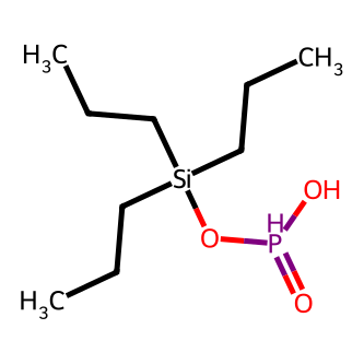 CCC[Si](CCC)(CCC)O[PH](=O)O